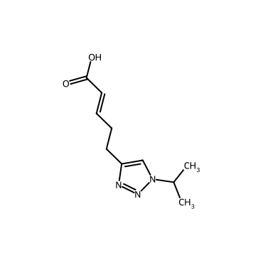 CC(C)n1cc(CC/C=C/C(=O)O)nn1